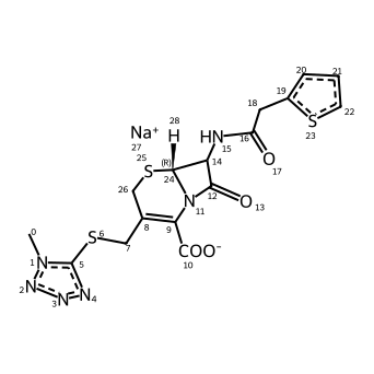 Cn1nnnc1SCC1=C(C(=O)[O-])N2C(=O)C(NC(=O)Cc3cccs3)[C@H]2SC1.[Na+]